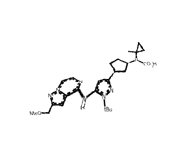 COCc1cc2c(Nc3cc([C@H]4CC[C@@H](N(C(=O)O)C5(C)CC5)C4)nn3C(C)(C)C)nccn2n1